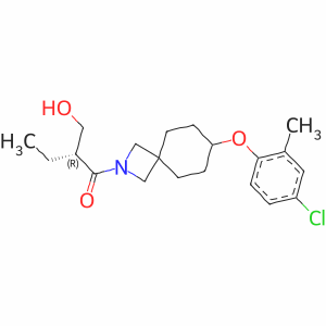 CC[C@H](CO)C(=O)N1CC2(CCC(Oc3ccc(Cl)cc3C)CC2)C1